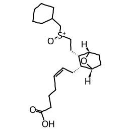 O=C(O)CCC/C=C\C[C@@H]1[C@H](CC[S+]([O-])CC2CCCCC2)[C@@H]2CC[C@H]1O2